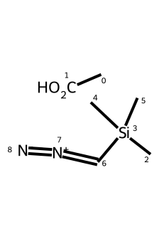 CC(=O)O.C[Si](C)(C)C=[N+]=[N-]